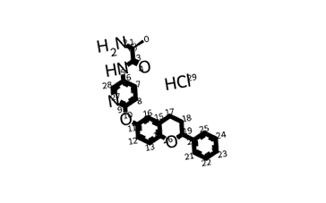 C[C@H](N)C(=O)Nc1ccc(Oc2ccc3c(c2)CCC(c2ccccc2)O3)nc1.Cl